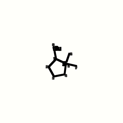 CC(C)(C)C1CCC[Si]1(C)C